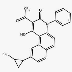 CCCC1CC1c1ccc2ccc3c(c(O)c(C(=O)C(F)(F)F)c(=O)n3-c3ccccc3)c2c1